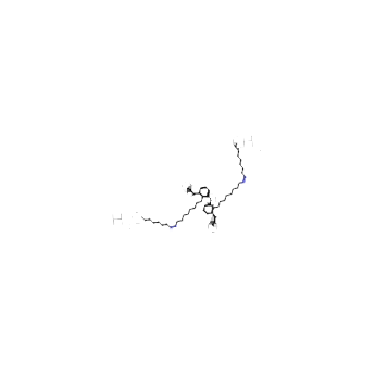 CCCCCCCC/C=C\CCCCCCCCc1c(C=C=O)cccc1Oc1cccc(C=C=O)c1CCCCCCCC/C=C\CCCCCCCC